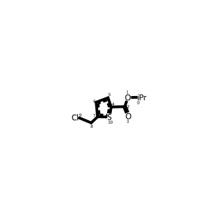 CC(C)OC(=O)c1ccc(CCl)s1